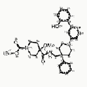 COC1(C(=O)NCC2(c3ccccc3)CCN(c3cnnc(-c4ccccc4O)c3)CC2)CCN(C(=O)OC(C)(C)C)CC1